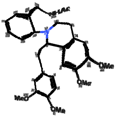 COc1ccc(CC2c3cc(OC)c(OC)cc3CCN2c2ccccc2CNC(C)=O)cc1OC